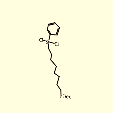 CCCCCCCCCCCCCCCCCC[Si](Cl)(Cl)c1ccccc1